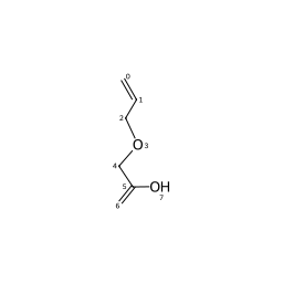 C=CCOCC(=C)O